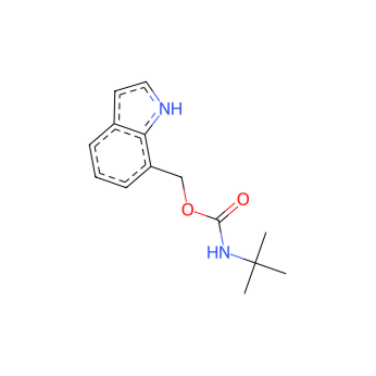 CC(C)(C)NC(=O)OCc1cccc2cc[nH]c12